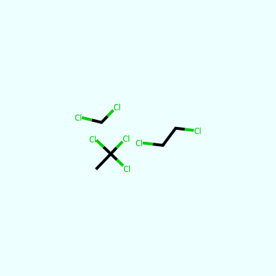 CC(Cl)(Cl)Cl.ClCCCl.ClCCl